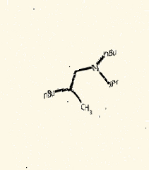 CCCCC(C)CN(CCCC)C(C)C